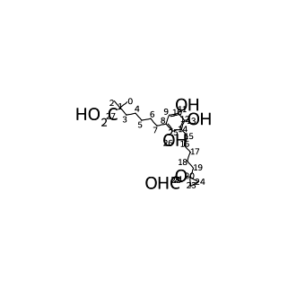 CC(C)(CCCCCc1cc(O)c(O)c(CCCCCC2(OC=O)CC2)c1O)C(=O)O